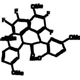 COc1ccc(OC)c(C(Cc2cc(F)c(F)c(OC)c2)C(=O)C(Cc2cc(F)c(F)c(OC)c2)c2cc(OC)ccc2OC)c1